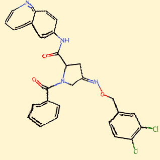 O=C(Nc1ccc2ncccc2c1)C1CC(=NOCc2ccc(Cl)c(Cl)c2)CN1C(=O)c1ccccc1